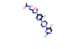 CC(=O)NCC1CN(c2cnc(N3CCN(c4nc(Cl)ncc4Cl)CC3)c(F)c2)CO1